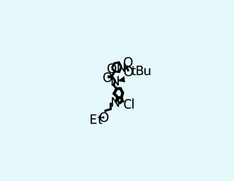 CCOCCCn1cc(Cl)c2ccc(CN(C(=O)C3CN(C(=O)OC(C)(C)C)CCO3)C3CC3)cc21